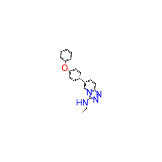 CCNc1nnc2ccc(-c3ccc(Oc4ccccc4)cc3)cn12